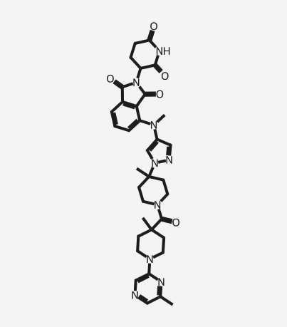 Cc1cncc(N2CCC(C)(C(=O)N3CCC(C)(n4cc(N(C)c5cccc6c5C(=O)N(C5CCC(=O)NC5=O)C6=O)cn4)CC3)CC2)n1